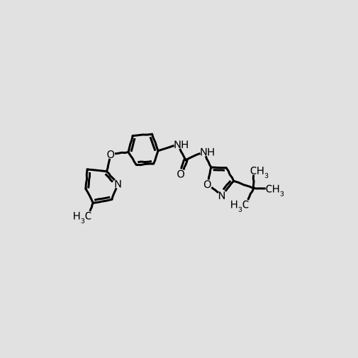 Cc1ccc(Oc2ccc(NC(=O)Nc3cc(C(C)(C)C)no3)cc2)nc1